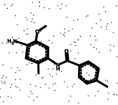 COc1cc(NC(=O)c2ccc(C)cc2)c(C)cc1N